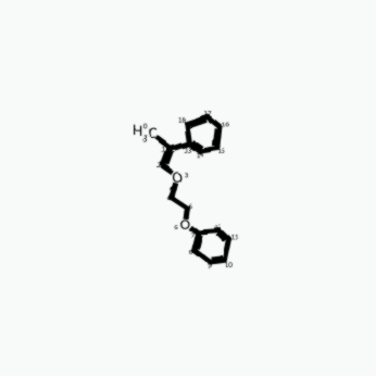 CC(=COCCOc1ccccc1)c1ccccc1